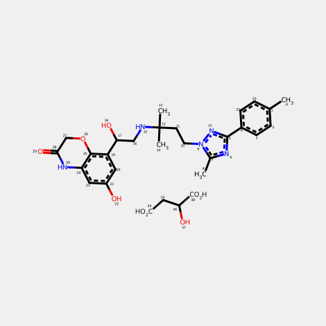 Cc1ccc(-c2nc(C)n(CCC(C)(C)NCC(O)c3cc(O)cc4c3OCC(=O)N4)n2)cc1.O=C(O)CC(O)C(=O)O